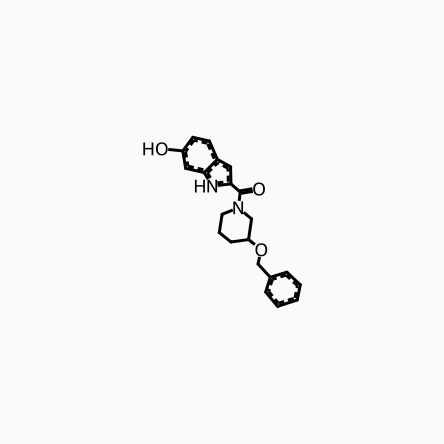 O=C(c1cc2ccc(O)cc2[nH]1)N1CCCC(OCc2ccccc2)C1